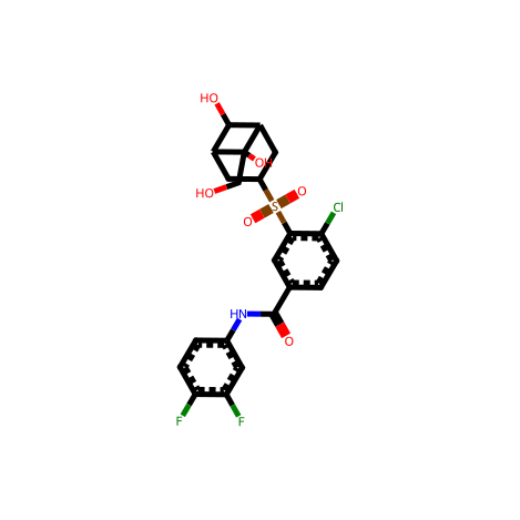 O=C(Nc1ccc(F)c(F)c1)c1ccc(Cl)c(S(=O)(=O)C2CC3C(O)C(C2)C3(O)CO)c1